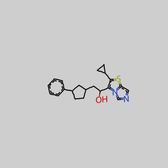 OC(CC1CCC(c2ccccc2)C1)c1c(C2CC2)sc2cncn12